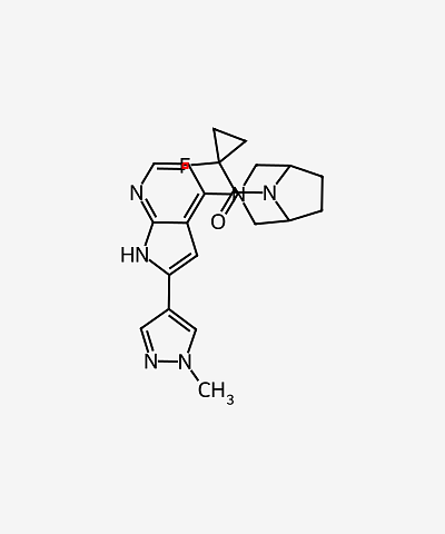 Cn1cc(-c2cc3c(N4CC5CCC(C4)N5C(=O)C4(F)CC4)ccnc3[nH]2)cn1